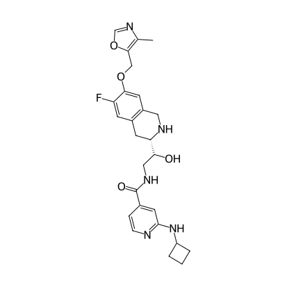 Cc1ncoc1COc1cc2c(cc1F)C[C@@H](C(O)CNC(=O)c1ccnc(NC3CCC3)c1)NC2